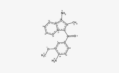 COc1cc(C(=O)c2c(C)c(N)c3ccccn23)ccc1N